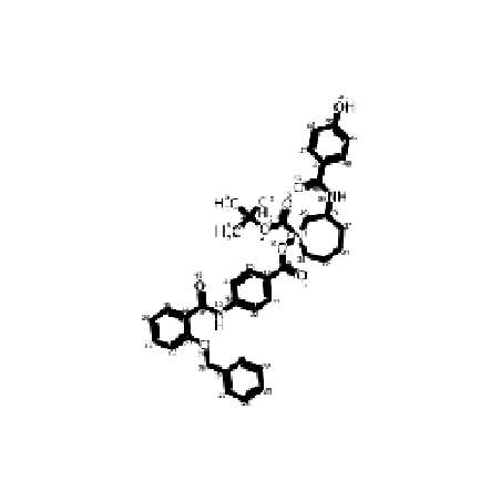 CC(C)(C)OC(=O)[N+]1(OC(=O)c2ccc(NC(=O)c3ccccc3OCc3ccccc3)cc2)CCCCC(NC(=O)c2ccc(O)cc2)C1